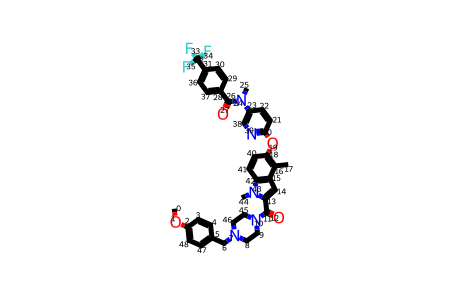 COc1ccc(CN2CCN(C(=O)c3cc4c(C)c(Oc5ccc(N(C)C(=O)c6ccc(C(F)(F)F)cc6)cn5)ccc4n3C)CC2)cc1